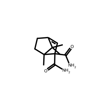 CC1(C)C2=CC(C(N)=O)(C(N)=O)C1(C)CC2